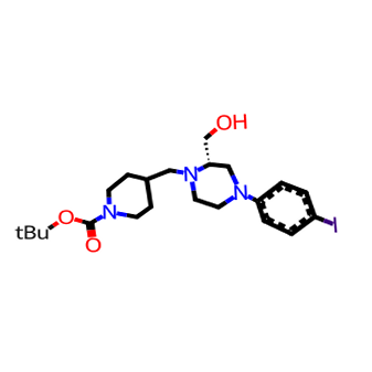 CC(C)(C)OC(=O)N1CCC(CN2CCN(c3ccc(I)cc3)C[C@H]2CO)CC1